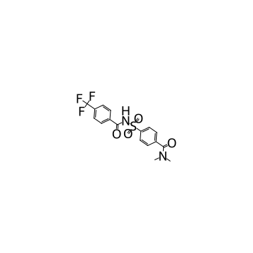 CN(C)C(=O)c1ccc(S(=O)(=O)NC(=O)c2ccc(C(F)(F)F)cc2)cc1